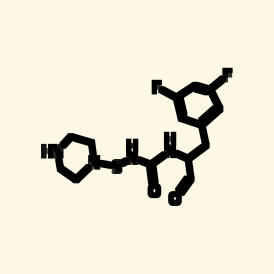 O=CC(Cc1cc(F)cc(F)c1)NC(=O)NSN1CCNCC1